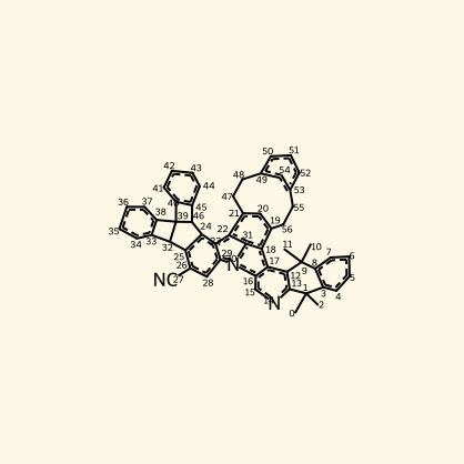 CC1(C)c2ccccc2C(C)(C)c2c1ncc1c2c2c3cc(c4c5c6c(c(C#N)cc5n1c42)C1c2ccccc2C12c1ccccc1C62)CCc1cccc(c1)CC3